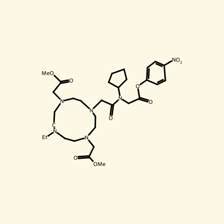 CCN1CCN(CC(=O)OC)CCN(CC(=O)N(CC(=O)Oc2ccc([N+](=O)[O-])cc2)C2CCCC2)CCN(CC(=O)OC)CC1